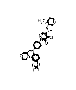 C[C@@H]1CCOC[C@H]1CNc1cnn([C@H]2CC[C@H](N(C[C@@H]3COCCO3)c3ccc(OC(F)(F)F)cc3)CC2)c(=O)c1Cl